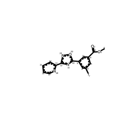 COC(=O)c1cc(I)cc(-c2nc(-c3ccccn3)no2)c1